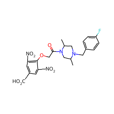 CC1CN(C(=O)COc2c([N+](=O)[O-])cc(C(=O)O)cc2[N+](=O)[O-])C(C)CN1Cc1ccc(F)cc1